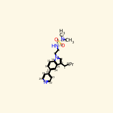 CC(C)Cc1cn(CCNS(=O)(=O)N(C)C)c2ccc(-c3ccncc3)cc12